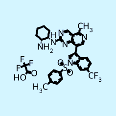 Cc1ccc(S(=O)(=O)n2cc(-c3cnc(C)c4cnc(N[C@H]5CCCC[C@H]5N)nc34)c3ccc(C(F)(F)F)cc32)cc1.O=C(O)C(F)(F)F